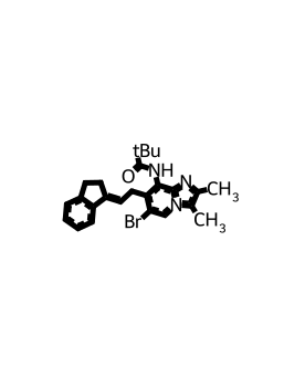 Cc1nc2c(NC(=O)C(C)(C)C)c(CC=C3CCc4ccccc43)c(Br)cn2c1C